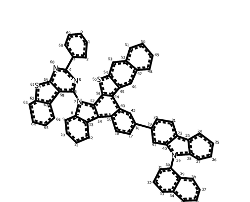 c1ccc(-c2nc(-n3c4ccccc4c4c5ccc(-c6ccc7c8ccccc8n(-c8cccc9ccccc89)c7c6)cc5c5c6cc7ccccc7cc6sc5c43)c3c(n2)sc2ccccc23)cc1